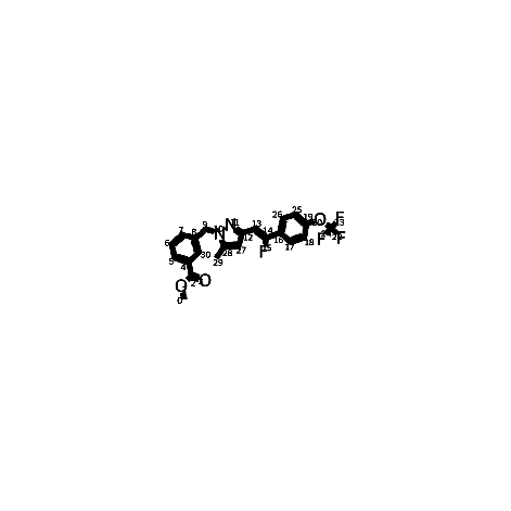 COC(=O)c1cccc(Cn2nc(C=C(F)c3ccc(OC(F)(F)F)cc3)cc2C)c1